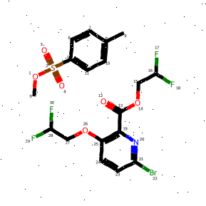 COS(=O)(=O)c1ccc(C)cc1.O=C(OCC(F)F)c1nc(Br)ccc1OCC(F)F